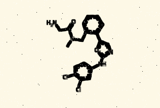 CN(Cc1ccccc1-c1cnc(Nc2ccc(Cl)c(Cl)c2)o1)C(=O)CN